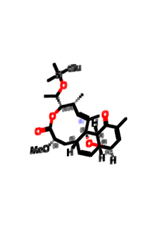 CO[C@H]1C[C@H]2C=C[C@H]3[C@@H]4C=C(C)C(=O)[C@H]3[C@]2(O4)/C(C)=C/[C@@H](C)[C@@H](C(C)O[Si](C)(C)C(C)(C)C)OC1=O